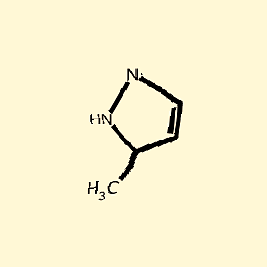 CC1C=C[N]N1